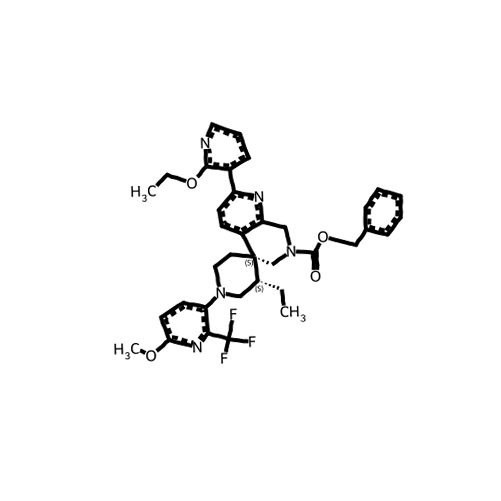 CCOc1ncccc1-c1ccc2c(n1)CN(C(=O)OCc1ccccc1)C[C@]21CCN(c2ccc(OC)nc2C(F)(F)F)C[C@H]1CC